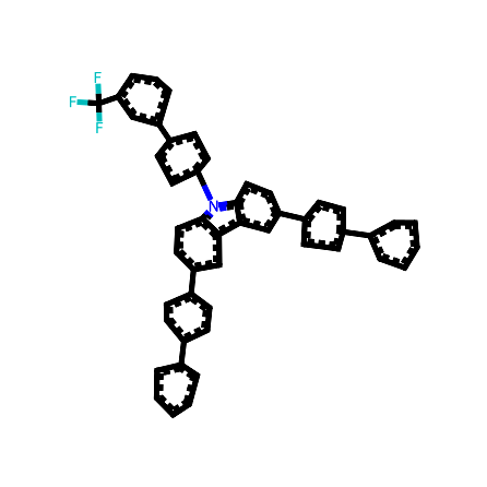 FC(F)(F)c1cccc(-c2ccc(-n3c4ccc(-c5ccc(-c6ccccc6)cc5)cc4c4cc(-c5ccc(-c6ccccc6)cc5)ccc43)cc2)c1